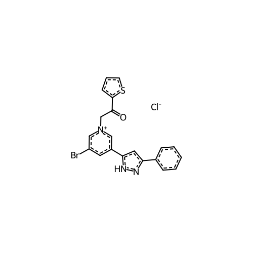 O=C(C[n+]1cc(Br)cc(-c2cc(-c3ccccc3)n[nH]2)c1)c1cccs1.[Cl-]